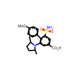 COc1ccc(-c2c(N3C(C)CCC3C)cc(C(=O)O)cc2S(N)(=O)=O)cc1